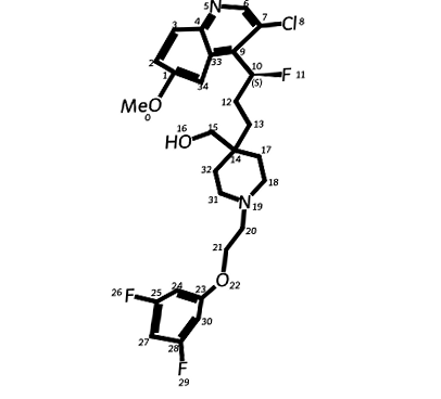 COc1ccc2ncc(Cl)c([C@@H](F)CCC3(CO)CCN(CCOc4cc(F)cc(F)c4)CC3)c2c1